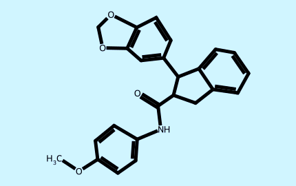 COc1ccc(NC(=O)C2Cc3ccccc3C2c2ccc3c(c2)OCO3)cc1